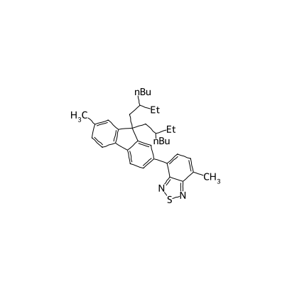 CCCCC(CC)CC1(CC(CC)CCCC)c2cc(C)ccc2-c2ccc(-c3ccc(C)c4nsnc34)cc21